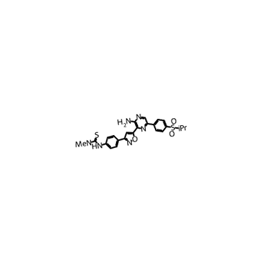 CNC(=S)Nc1ccc(-c2cc(-c3nc(-c4ccc(S(=O)(=O)C(C)C)cc4)cnc3N)on2)cc1